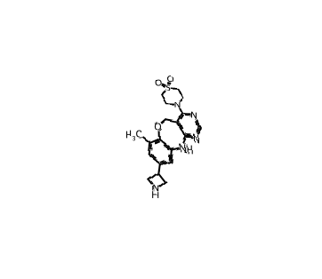 Cc1cc(C2CNC2)cc2c1OCc1c(ncnc1N1CCS(=O)(=O)CC1)N2